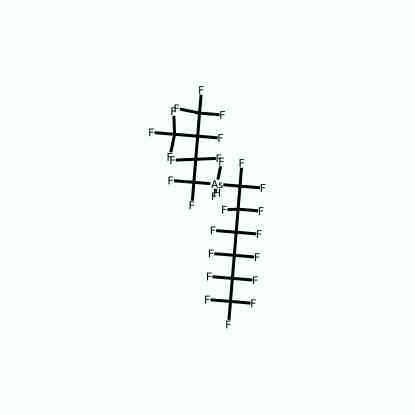 FC(F)(F)C(F)(F)C(F)(F)C(F)(F)C(F)(F)C(F)(F)[AsH](F)(F)C(F)(F)C(F)(F)C(F)(C(F)(F)F)C(F)(F)F